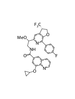 COC(CNC(=O)c1cc(OC2CC2)c2ncccc2c1)c1cc2c(c(-c3ccc(F)cc3)n1)OC[C@H]2C(F)(F)F